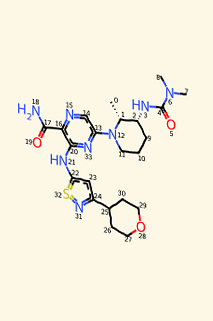 C[C@@H]1[C@H](NC(=O)N(C)C)CCCN1c1cnc(C(N)=O)c(Nc2cc(C3CCOCC3)ns2)n1